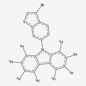 [2H]c1c([2H])c([2H])c2c(c1[2H])c1c([2H])c([2H])c([2H])c([2H])c1n2-c1ccc2c(Br)csc2c1